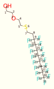 OCCOCCSCCC(F)(F)C(F)(F)C(F)(F)C(F)(F)C(F)(F)C(F)(F)C(F)(F)C(F)(F)F